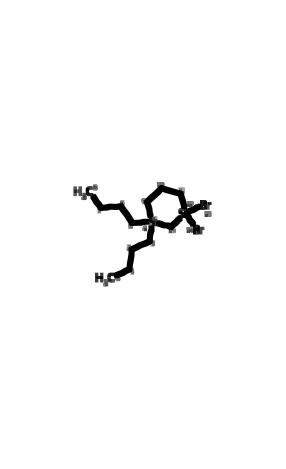 CCCC[Si]1(CCCC)CCC[Si](Br)(Br)C1